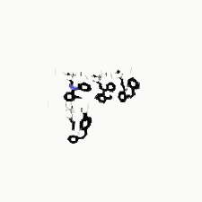 CN(C)CC/C=C1/c2ccccc2CSc2ccccc21.CN(C)CCC=C1c2ccccc2COc2ccccc21.CN(C)CCCN1c2ccccc2CCc2ccc(Cl)cc21.CNCCCN1c2ccccc2CCc2ccccc21